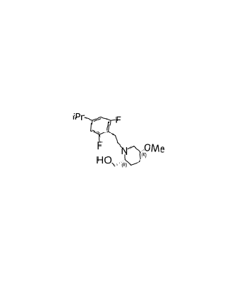 CO[C@@H]1CC[C@H](CO)N(CCc2c(F)cc(C(C)C)cc2F)C1